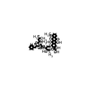 COc1cccc2c1C(=O)c1c(O)c3c(c(O)c1C2=O)C[C@@](O)(C(=O)CO)C[C@@H]3OC1CC(NOC(=O)CN(C(=O)[C@@H](N)Cc2ccccc2)C(=O)[C@@H](N)CC(C)C)C(O)C(C)O1